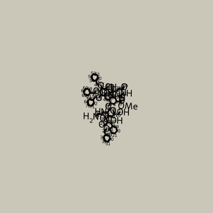 COC(=O)C1CC(O[C@@H]2O[C@@H](CO)C(O)C(O[C@@H](CC3CCCCC3)C(=O)OCc3ccccc3)C2NC(=O)CN)C(CC2OC(C)C(OCc3ccccc3)C(OCc3ccccc3)C2OCc2ccccc2)[C@H](NC(=O)c2cc(=O)[nH]c(=O)[nH]2)C1